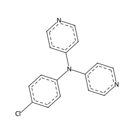 Clc1ccc(N(c2ccncc2)c2ccncc2)cc1